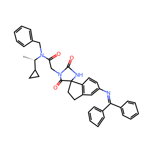 C[C@@H](C1CC1)N(Cc1ccccc1)C(=O)CN1C(=O)NC2(CCc3cc(N=C(c4ccccc4)c4ccccc4)ccc32)C1=O